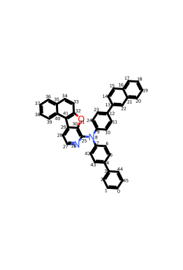 c1ccc(-c2ccc(N(c3ccc(-c4ccc5ccccc5c4)cc3)c3nccc4c3oc3ccc5ccccc5c34)cc2)cc1